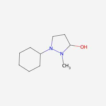 CN1C(O)CCN1C1CCCCC1